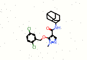 Cn1ncc(C(=O)NC2C3CC4CC(C3)CC2C4)c1OCc1cc(Cl)ccc1Cl